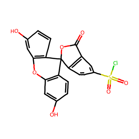 O=C1OC2(c3ccc(O)cc3Oc3cc(O)ccc32)c2ccc(S(=O)(=O)Cl)cc21